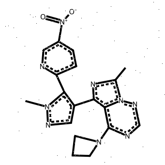 Cc1nc(-c2cnn(C)c2-c2ccc([N+](=O)[O-])cn2)c2c(N3CCC3)ncnn12